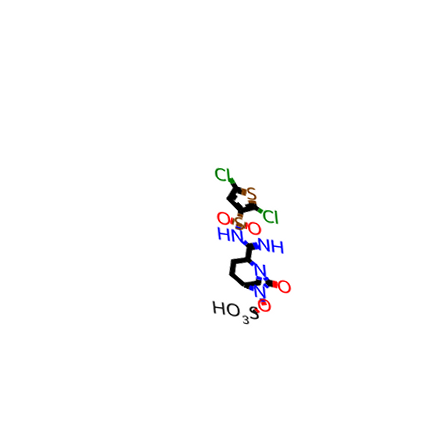 N=C(NS(=O)(=O)c1cc(Cl)sc1Cl)C1CCC2CN1C(=O)N2OS(=O)(=O)O